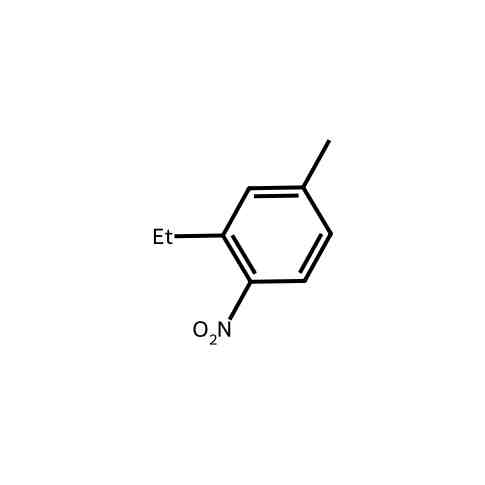 CCc1cc(C)ccc1[N+](=O)[O-]